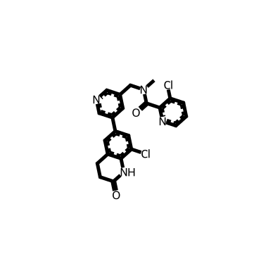 CN(Cc1cncc(-c2cc(Cl)c3c(c2)CCC(=O)N3)c1)C(=O)c1ncccc1Cl